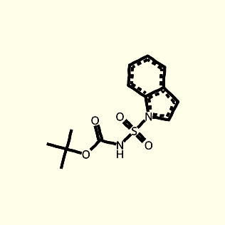 CC(C)(C)OC(=O)NS(=O)(=O)n1ccc2ccccc21